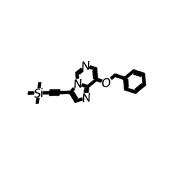 C[Si](C)(C)C#Cc1cnc2c(OCc3ccccc3)cncn12